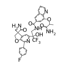 CC(Oc1cc(C(=O)NC[C@](O)(c2cc3c(c(-c4ccc(F)cc4)n2)OC[C@]3(C)C(N)=O)C(F)(F)F)cc2cccnc12)C(N)=O